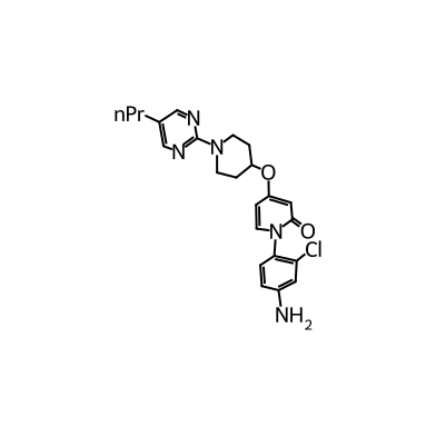 CCCc1cnc(N2CCC(Oc3ccn(-c4ccc(N)cc4Cl)c(=O)c3)CC2)nc1